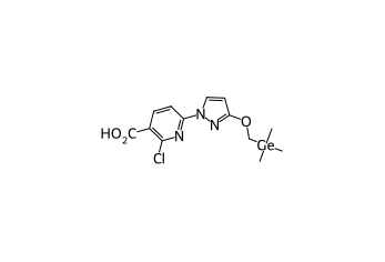 [CH3][Ge]([CH3])([CH3])[CH2]Oc1ccn(-c2ccc(C(=O)O)c(Cl)n2)n1